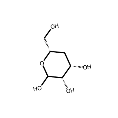 OC[C@@H]1C[C@H](O)[C@H](O)C(O)O1